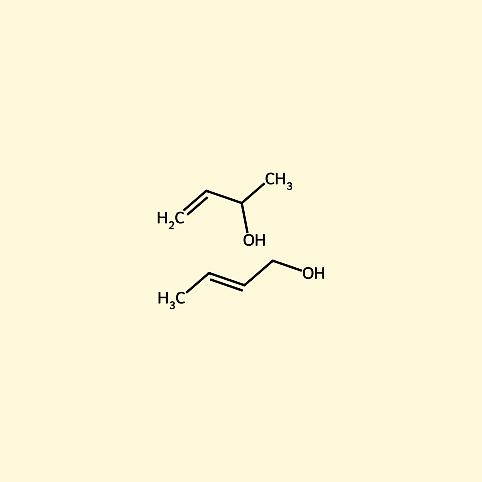 C/C=C/CO.C=CC(C)O